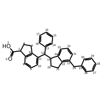 O=C(O)C1CCc2c1cccc2C(c1ccccc1)C1CCc2c(Cc3ccccc3)cccc21